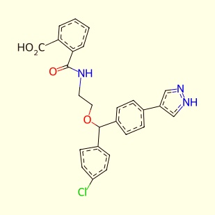 O=C(O)c1ccccc1C(=O)NCCOC(c1ccc(Cl)cc1)c1ccc(-c2cn[nH]c2)cc1